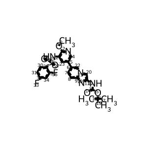 COc1ncc(-c2ccc3nc(NC(=O)OC(C)(C)C)cn3c2)cc1NS(=O)(=O)c1ccc(F)cc1F